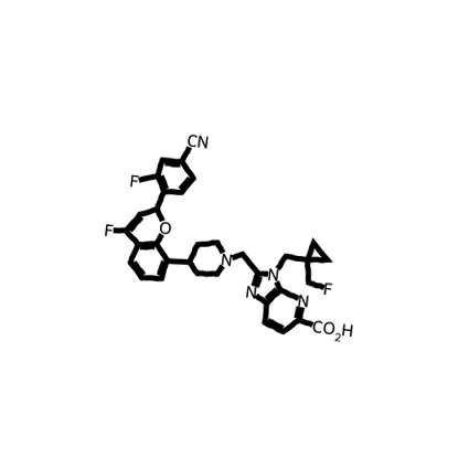 N#Cc1ccc(C2C=C(F)c3cccc(C4CCN(Cc5nc6ccc(C(=O)O)nc6n5CC5(CF)CC5)CC4)c3O2)c(F)c1